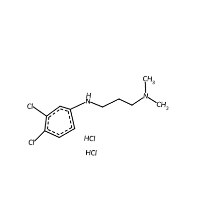 CN(C)CCCNc1ccc(Cl)c(Cl)c1.Cl.Cl